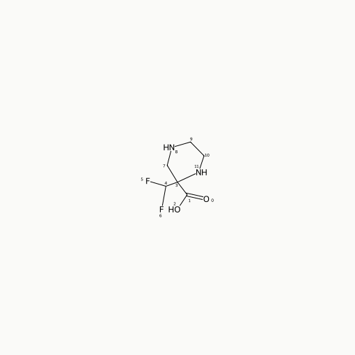 O=C(O)C1(C(F)F)CNCCN1